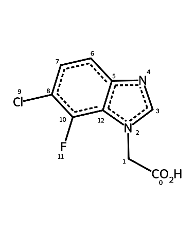 O=C(O)Cn1cnc2ccc(Cl)c(F)c21